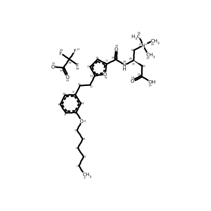 CCCCCCOc1cccc(CCc2ccc(C(=O)N[C@H](CC(=O)O)C[N+](C)(C)C)o2)c1.O=C([O-])C(F)(F)F